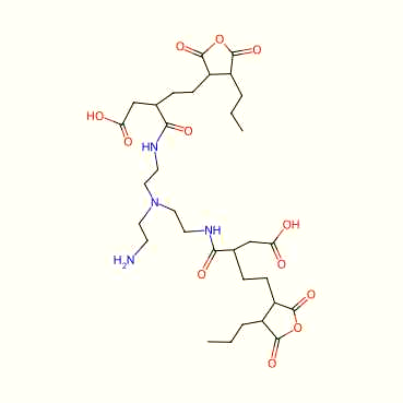 CCCC1C(=O)OC(=O)C1CCC(CC(=O)O)C(=O)NCCN(CCN)CCNC(=O)C(CCC1C(=O)OC(=O)C1CCC)CC(=O)O